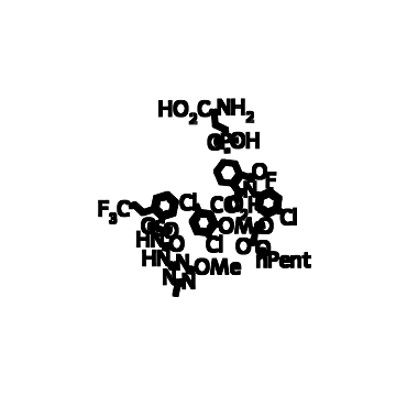 CCCCCOC(=O)COc1cc(N2C(=O)C3=C(CCCC3)C2=O)c(F)cc1Cl.COc1c(Cl)ccc(Cl)c1C(=O)O.COc1nc(C)nc(NC(=O)NS(=O)(=O)c2ccccc2CCC(F)(F)F)n1.CP(=O)(O)CCC(N)C(=O)O